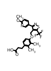 COc1ccc(-c2nsc(C(F)(F)F)c2COc2ccc(CCC(=O)O)c(C)c2C)cn1